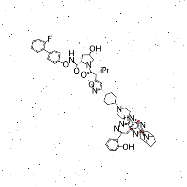 CC(C)[C@@H](C(=O)N1C[C@H](O)C[C@H]1C(=O)NOc1ccc(-c2ccccc2F)cc1)c1cc([C@H]2CC[C@@H](N3CCC(c4cnc(N5C6CCC5CN(c5c[nH]c7nnc(-c8ccccc8O)cc57)C6)nc4)CC3)CC2)no1